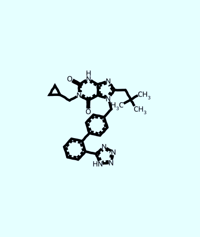 CC(C)(C)Cc1nc2[nH]c(=O)n(CC3CC3)c(=O)c2n1Cc1ccc(-c2ccccc2-c2nnn[nH]2)cc1